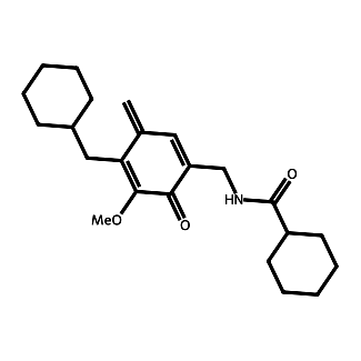 C=C1C=C(CNC(=O)C2CCCCC2)C(=O)C(OC)=C1CC1CCCCC1